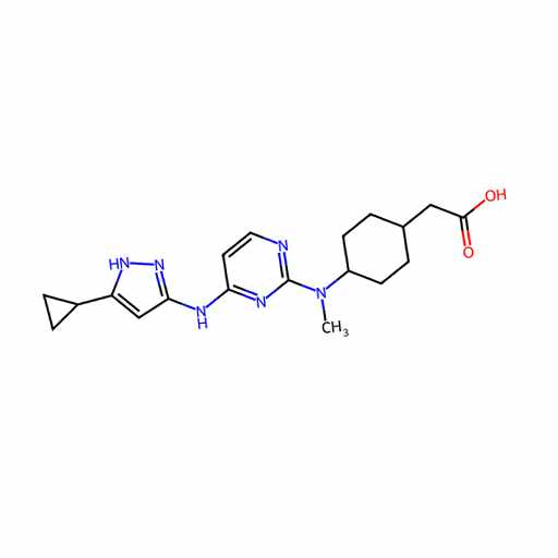 CN(c1nccc(Nc2cc(C3CC3)[nH]n2)n1)C1CCC(CC(=O)O)CC1